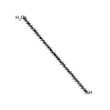 COSSSSSSSSSSSSSSSSSSSSSSSSSSSSSSSSSSSSSSSSSSSSSSSSSSSSSSSSSSSSSS